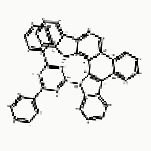 c1ccc(-c2nc(-c3ccccc3)nc(-n3c4ccccc4c4c5ccccc5c5ccc6c7ccccc7oc6c5c43)n2)cc1